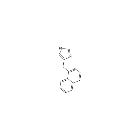 c1ccc2c(Cc3c[nH]cn3)nccc2c1